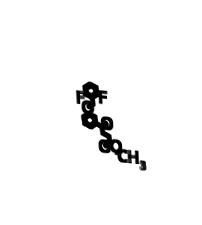 CCOC(=O)CCC(=O)c1cccc(OCc2c(F)cccc2F)c1